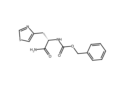 NC(=O)[C@H](Cc1cscn1)NC(=O)OCc1ccccc1